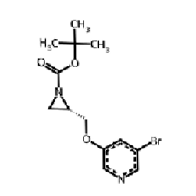 CC(C)(C)OC(=O)N1C[C@H]1COc1cncc(Br)c1